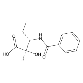 CC[C@H](NC(=O)c1ccccc1)[C@@](C)(O)C(=O)O